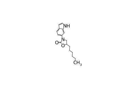 CCCCCCC1CN(c2ccc3cc[nH]c3c2)C(=O)O1